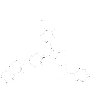 O=C1[C@H](CC[C@H](O)c2ccc(F)cc2)[C@@H](c2ccc(-c3ccc4ccccc4c3)cc2)N1c1ccc(F)cc1